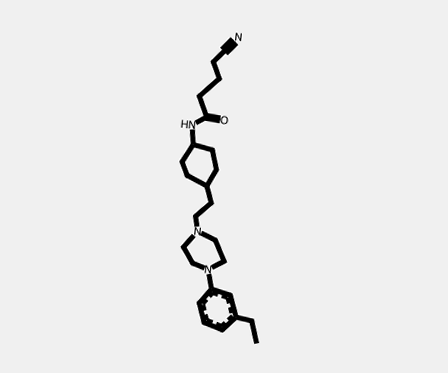 CCc1cccc(N2CCN(CCC3CCC(NC(=O)CCCC#N)CC3)CC2)c1